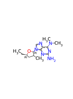 CC[C@@H]1CC(C)[C@H](n2cnc3c(N(C)C)nc(N)nc32)O1